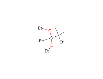 CCO[Si](CC)(OCC)C(C)(C)CC